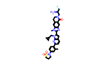 Cc1cc(N2CCCS2(=O)=O)ccc1-c1ccc2cc(-c3nc4cc5c(cc4n3C)CCN(CC(N)CF)C5=O)n(CC3CC3)c2n1